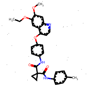 CCOc1cc2c(Oc3ccc(NC(=O)C4(C(=O)Nc5ccc(C)cc5)CC4)cc3)ccnc2cc1OC